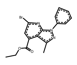 CCOC(=O)c1cc(Br)nc2c1c(C)nn2-c1ccccc1